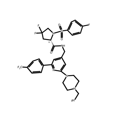 CC(C)CN1CCN(c2cc(CNC(=O)[C@@H]3CC(F)(F)CN3S(=O)(=O)c3ccc(F)cc3)cc(-c3ccc(C(F)(F)F)cc3)n2)CC1